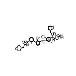 Cc1c(-c2nc(CN3CCOCC3)no2)cccc1-c1cccc(COc2ccc(C(OCc3cccnc3)[C@](N)(CO)C(=O)O)cc2Cl)c1Br